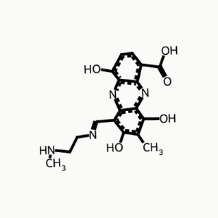 CNCCN=Cc1c(O)c(C)c(O)c2nc3c(C(=O)O)ccc(O)c3nc12